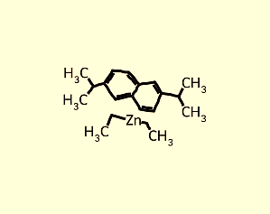 CC(C)c1ccc2cc(C(C)C)ccc2c1.C[CH2][Zn][CH2]C